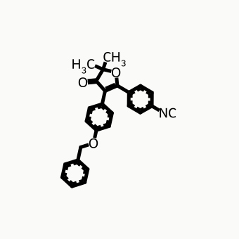 [C-]#[N+]c1ccc(C2=C(c3ccc(OCc4ccccc4)cc3)C(=O)C(C)(C)O2)cc1